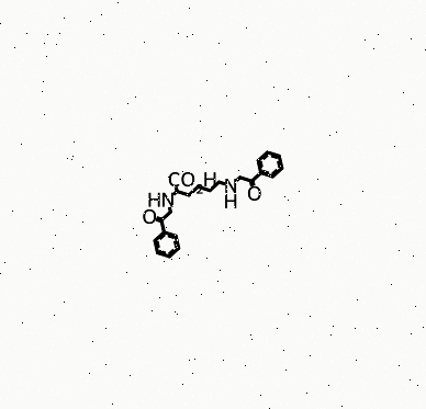 O=C(CNCCCCC(NCC(=O)c1ccccc1)C(=O)O)c1ccccc1